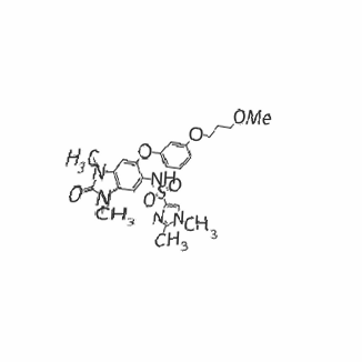 COCCCOc1cccc(Oc2cc3c(cc2NS(=O)(=O)c2cn(C)c(C)n2)n(C)c(=O)n3C)c1